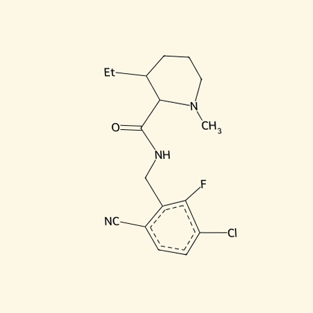 CCC1CCCN(C)C1C(=O)NCc1c(C#N)ccc(Cl)c1F